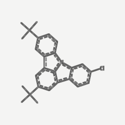 CC(C)(C)c1ccc2c(c1)c1cc(C(C)(C)C)cc3c4ccc(Cl)cc4n2c13